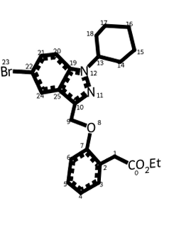 CCOC(=O)Cc1ccccc1OCc1nn(C2CCCCC2)c2ccc(Br)cc12